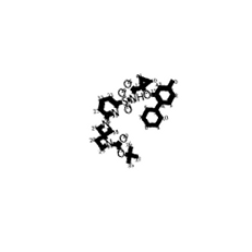 Cc1ccc(C2CCCCC2)c(OC2(C(=O)NS(=O)(=O)c3cccc(N4CC5(CCN5C(=O)OC(C)(C)C)C4)n3)CC2)c1